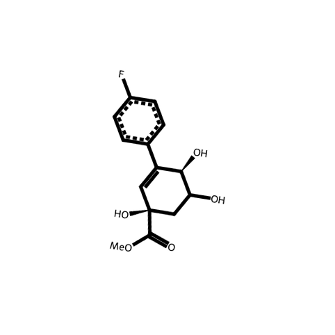 COC(=O)[C@]1(O)C=C(c2ccc(F)cc2)[C@@H](O)C(O)C1